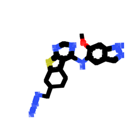 COc1cc2[nH]ncc2cc1Nc1ncnc2sc3c(c12)CCC(CN=[N+]=[N-])C3